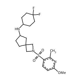 COc1ccc(S(=O)(=O)N2CC3(CCC(NC4CCC(F)(F)CC4)C3)C2)c(C)n1